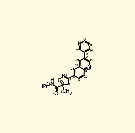 CC(C)NC(=O)C1(C)CC(c2ccc3ncc(-c4cncnc4)cc3c2)=NO1